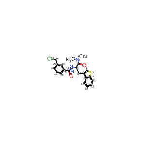 CN(C#N)C(=O)C(Cc1csc2ccccc12)NC(=O)c1cccc(CCl)c1